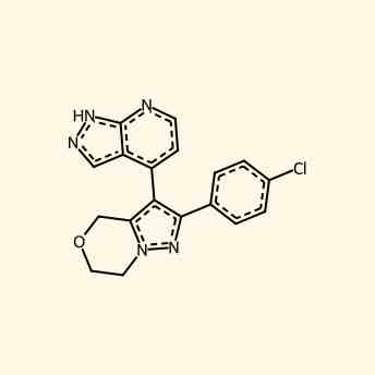 Clc1ccc(-c2nn3c(c2-c2ccnc4[nH]ncc24)COCC3)cc1